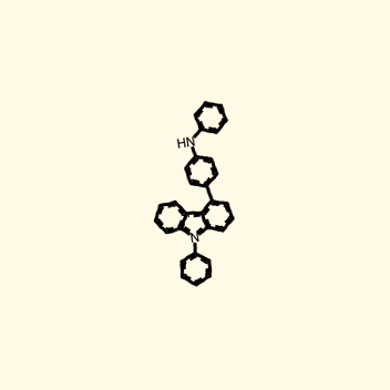 c1ccc(Nc2ccc(-c3cccc4c3c3ccccc3n4-c3ccccc3)cc2)cc1